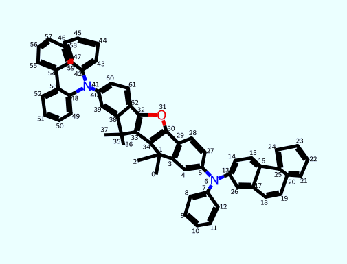 CC1(C)c2cc(N(c3ccccc3)c3ccc4c(ccc5ccccc54)c3)ccc2-c2oc3c(c21)C(C)(C)c1cc(N(c2ccccc2)c2ccccc2-c2ccccc2)ccc1-3